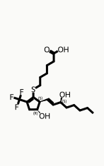 CCCCC[C@H](O)C=C[C@@H]1C(SCCCCCC(=O)O)=C(C(F)(F)F)C[C@H]1O